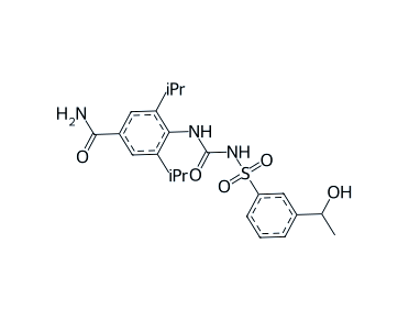 CC(C)c1cc(C(N)=O)cc(C(C)C)c1NC(=O)NS(=O)(=O)c1cccc(C(C)O)c1